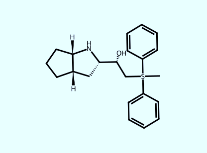 CS(C[C@@H](O)[C@@H]1C[C@@H]2CCC[C@@H]2N1)(c1ccccc1)c1ccccc1